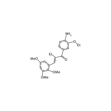 CCOc1cc(C(=O)/C(=C/c2cc(OC)cc(OC)c2OC)CC)ccc1N